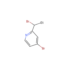 CCC(Br)c1cc(Br)ccn1